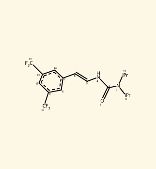 CC(C)N(C(=O)N/C=C/c1cc(C(F)(F)F)cc(C(F)(F)F)c1)C(C)C